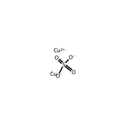 O=S(=O)([O-])[O-].[Cu+2].[Cu]